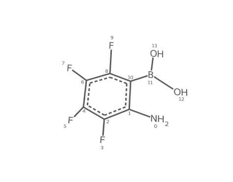 Nc1c(F)c(F)c(F)c(F)c1B(O)O